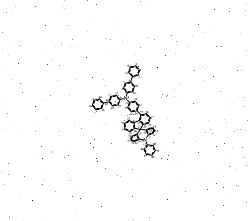 c1ccc(-c2ccc(N(c3ccc(-c4ccccc4)cc3)c3ccc(-c4cccc5c4-c4ccccc4C54c5ccccc5N(c5ccccc5)c5ccccc54)cc3)cc2)cc1